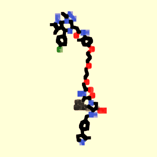 CC1=C(c2ccc(CNC3[C@@H](C=O)N(C(=O)C(NC(=O)COCCCOCCCOc4ccc(NC(=O)CC5N=C(c6ccc(Cl)cc6)c6c([nH]c(C)c6C)-n6c(C)nnc65)c(C)c4)C(C)(C)C)C[C@@H]3O)cc2)CC=N1